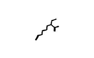 C=CCCCCC(CC)C(=C)C